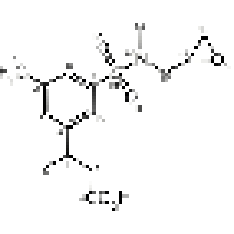 CC(CC(=O)O)c1cc(C(F)(F)F)cc(S(=O)(=O)N(C)CC2CO2)c1